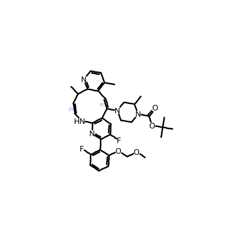 COCOc1cccc(F)c1-c1nc2c(cc1F)/C(N1CCN(C(=O)OC(C)(C)C)C(C)C1)=C\c1c(C)ccnc1C(C)/C=C\N2